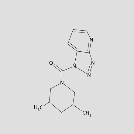 CC1CC(C)CN(C(=O)n2nnc3ncccc32)C1